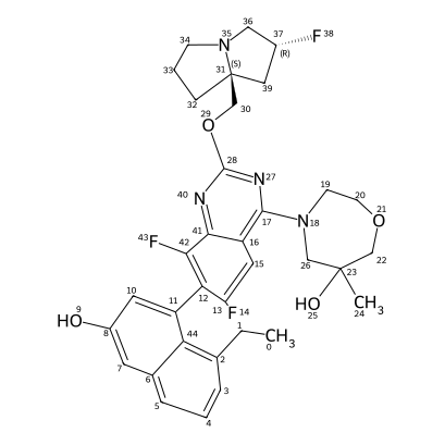 CCc1cccc2cc(O)cc(-c3c(F)cc4c(N5CCOCC(C)(O)C5)nc(OC[C@@]56CCCN5C[C@H](F)C6)nc4c3F)c12